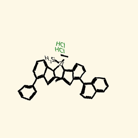 CC.CC1=Cc2c(-c3ccccc3)cccc2[CH]1[Zr]([CH3])([SiH3])[CH]1C(C)=Cc2c(-c3cccc4ccccc34)cccc21.Cl.Cl